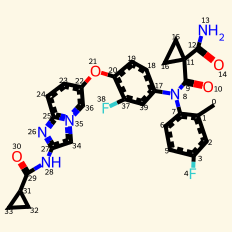 Cc1cc(F)ccc1N(C(=O)C1(C(N)=O)CC1)c1ccc(Oc2ccc3nc(NC(=O)C4CC4)cn3c2)c(F)c1